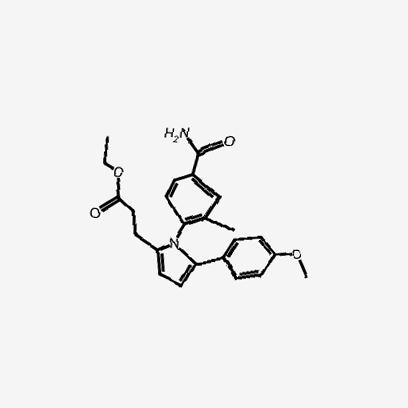 CCOC(=O)CCc1ccc(-c2ccc(OC)cc2)n1-c1ccc(C(N)=O)cc1C